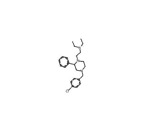 CCN(CC)CCN1CCN(Cc2ccc(Cl)cc2)CC1c1ccccc1